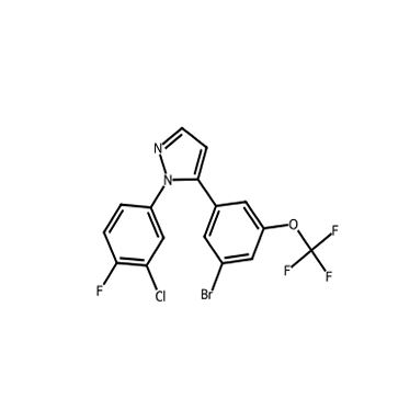 Fc1ccc(-n2nccc2-c2cc(Br)cc(OC(F)(F)F)c2)cc1Cl